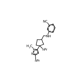 CCCc1cc(C2(CCC)CCC(CNc3cccc(C#N)c3)C2)n(C)n1